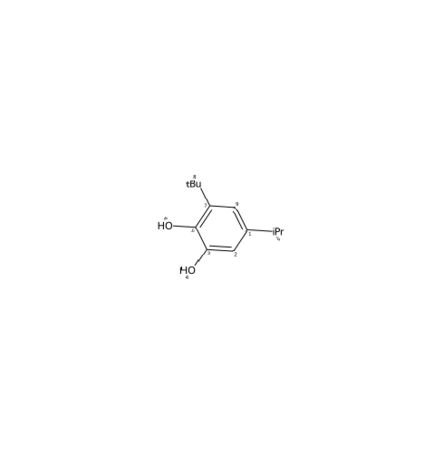 CC(C)c1cc(O)c(O)c(C(C)(C)C)c1